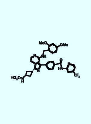 COc1ccc(CNc2nccn3c2c(-c2ccc(C(=O)Nc4cc(C(F)(F)F)ccn4)cc2)nc3[C@H]2C[C@H](NC(=O)O)C2)c(OC)c1